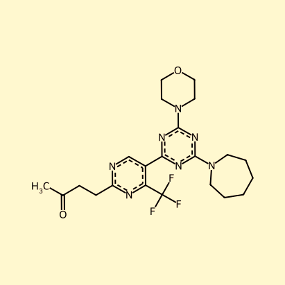 CC(=O)CCc1ncc(-c2nc(N3CCCCCC3)nc(N3CCOCC3)n2)c(C(F)(F)F)n1